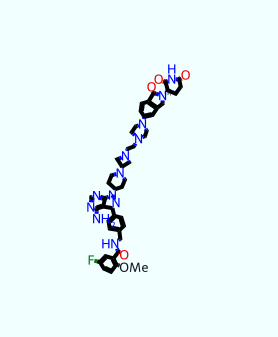 COc1ccc(F)cc1C(=O)NCc1ccc(-c2nn(C3CCN(C4CN(CCN5CCN(c6ccc7c(c6)CN([C@H]6CCC(=O)NC6=O)C7=O)CC5)C4)CC3)c3ncnc(N)c23)cc1